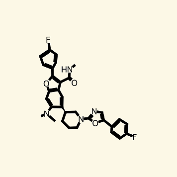 CNC(=O)c1c(-c2ccc(F)cc2)oc2cc(N(C)C)c([C@@H]3CCCN(c4ncc(-c5ccc(F)cc5)o4)C3)cc12